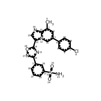 Cc1cc(-c2ccc(Cl)cc2)cn2c(-c3nc(-c4cccc(S(N)(=O)=O)c4)no3)cnc12